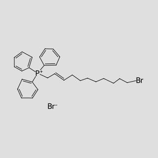 BrCCCCCCCCC=CC[P+](c1ccccc1)(c1ccccc1)c1ccccc1.[Br-]